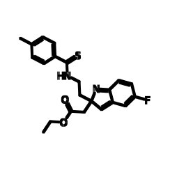 CCOC(=O)CC1(CCNC(=S)c2ccc(C)cc2)C=c2cc(F)ccc2=N1